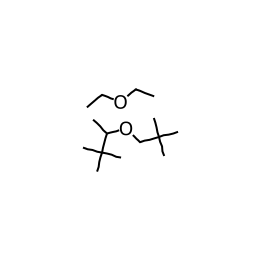 CC(OCC(C)(C)C)C(C)(C)C.CCOCC